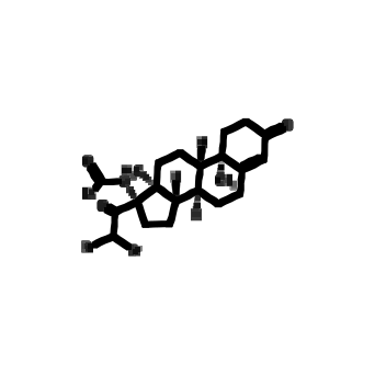 CCC(=O)O[C@@]1(C(=O)C(Br)Br)CC[C@H]2[C@@H]3CCC4=CC(=O)CC[C@]4(C)[C@H]3CC[C@@]21C